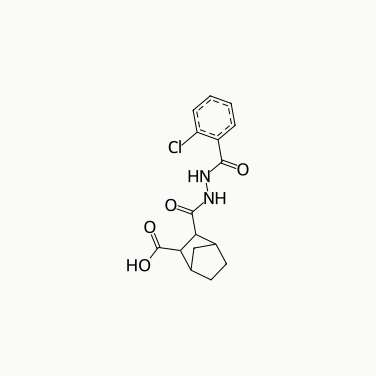 O=C(NNC(=O)C1C2CCC(C2)C1C(=O)O)c1ccccc1Cl